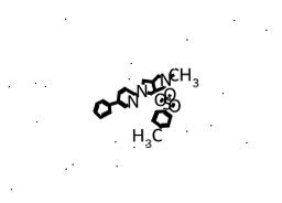 Cc1ccc(S(=O)(=O)OC2C3CN(c4ccc(-c5ccccc5)cn4)CC3CN2C)cc1